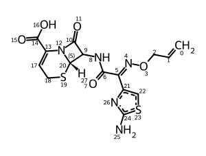 C=CCON=C(C(=O)NC1C(=O)N2C(C(=O)O)=CCS[C@@H]12)c1csc(N)n1